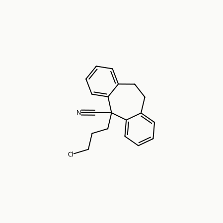 N#CC1(CCCCl)c2ccccc2CCc2ccccc21